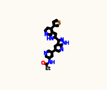 CCC(=O)Nc1cncc(-c2cnc3[nH]nc(-c4cc5c(-c6ccsc6)ccnc5[nH]4)c3c2)c1